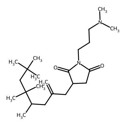 C=C(CC1CC(=O)N(CCCN(C)C)C1=O)CC(C)C(C)(C)CC(C)(C)C